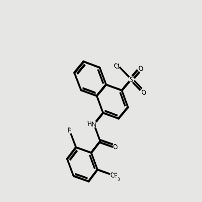 O=C(Nc1ccc(S(=O)(=O)Cl)c2ccccc12)c1c(F)cccc1C(F)(F)F